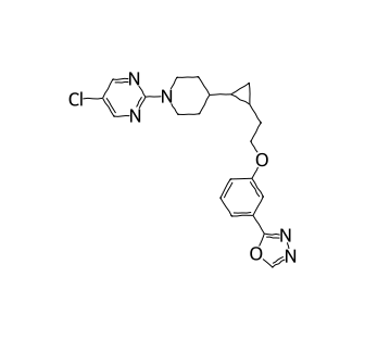 Clc1cnc(N2CCC(C3CC3CCOc3cccc(-c4nnco4)c3)CC2)nc1